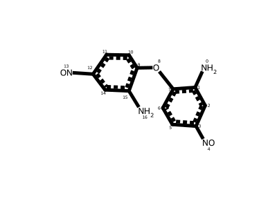 Nc1cc(N=O)ccc1Oc1ccc(N=O)cc1N